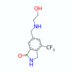 O=C1NCc2c1cc(CNCCO)cc2C(F)(F)F